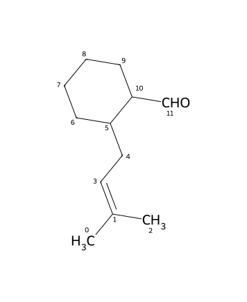 CC(C)=CCC1CCCCC1C=O